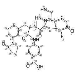 N=CN(N=N)c1ccc(Cl)c(F)c1/C=C/C(=O)NC(Cc1cccc(N2CCCC2=O)c1)C(=O)Nc1ccc(C(=O)O)cc1